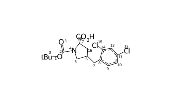 CC(C)(C)OC(=O)N1CC(Cc2ccc(Cl)cc2Cl)CC1C(=O)O